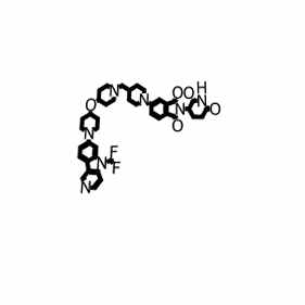 O=C1CCC(N2C(=O)c3ccc(N4CCC(CN5CCC(OC6CCN(c7ccc8c9cnccc9n(C(F)F)c8c7)CC6)CC5)CC4)cc3C2=O)C(=O)N1